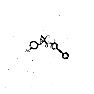 CC(=O)C1CCCC[C@@H](Cn2ncc(Cl)c2C(=O)Nc2ncc(C#Cc3ccccc3)cc2F)CC1